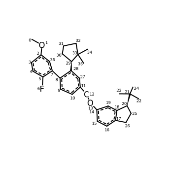 COc1ccc(F)c(-c2ccc(COc3ccc4c(c3)[C@@H](C(C)(C)C)CC4)cc2[C@H]2CCCC2(C)C)c1